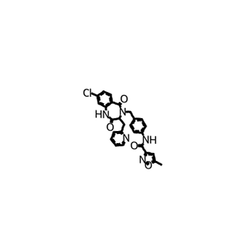 Cc1cc(C(=O)Nc2ccc(CN3C(=O)c4ccc(Cl)cc4NC(=O)C3Cc3ccccn3)cc2)no1